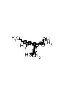 C=C(CO)C(=O)OCCOc1cc(-c2ccc(C3CCC(CCCCC(F)(F)F)CC3)c(C)c2)ccc1OCCOC(=O)C(C)CO